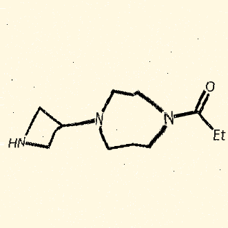 CCC(=O)N1CCN(C2CNC2)CC1